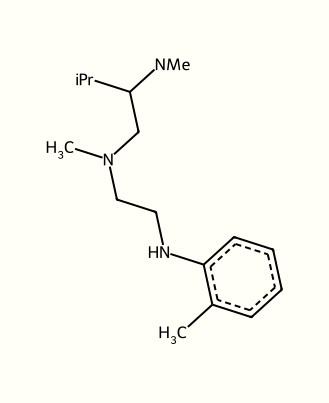 CNC(CN(C)CCNc1ccccc1C)C(C)C